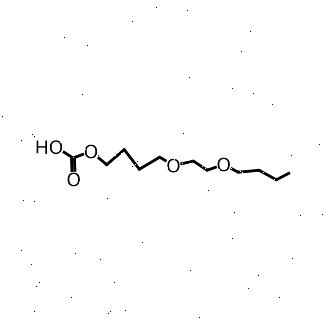 CCCCOCCOCCCCOC(=O)O